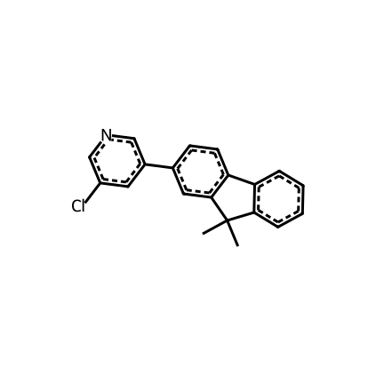 CC1(C)c2ccccc2-c2ccc(-c3cncc(Cl)c3)cc21